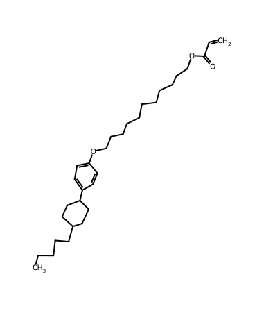 C=CC(=O)OCCCCCCCCCCCOc1ccc(C2CCC(CCCCC)CC2)cc1